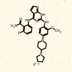 COc1cc(N2CCC(N3CC[C@H](F)C3)CC2)ccc1Nc1nc(Nc2cccc(F)c2C(N)=O)c2ccnc-2[nH]1